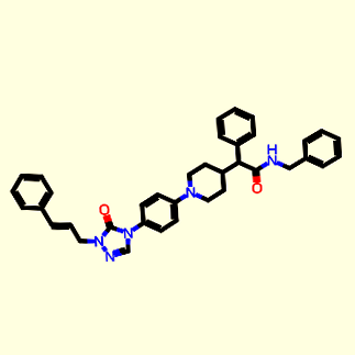 O=C(NCc1ccccc1)C(c1ccccc1)C1CCN(c2ccc(-n3cnn(C/C=C/c4ccccc4)c3=O)cc2)CC1